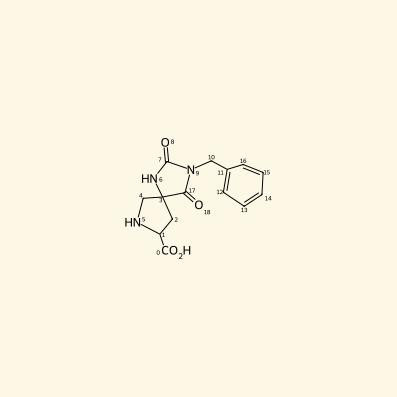 O=C(O)C1CC2(CN1)NC(=O)N(Cc1ccccc1)C2=O